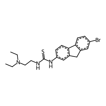 CCN(CC)CCNC(=S)Nc1ccc2c(c1)Cc1cc(Br)ccc1-2